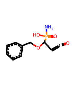 NP(=O)(O)C(C=C=O)OCc1ccccc1